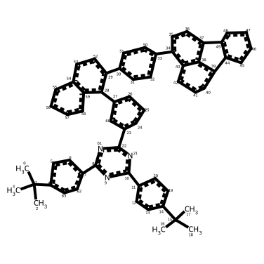 CC(C)(C)c1ccc(-c2nc(-c3ccc(C(C)(C)C)cc3)nc(-c3cccc(-c4c(-c5ccc(-c6ccc7c8c(cccc68)-c6ccccc6-7)cc5)ccc5ccccc45)c3)n2)cc1